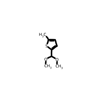 COC(OC)c1ccc(C)s1